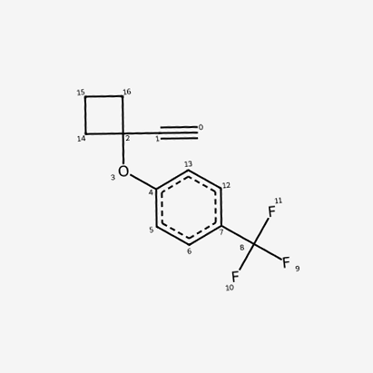 C#CC1(Oc2ccc(C(F)(F)F)cc2)CCC1